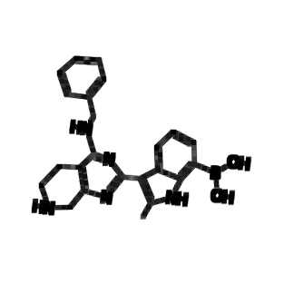 Cc1[nH]c2c(B(O)O)cccc2c1-c1nc2c(c(NCc3ccccc3)n1)CCNC2